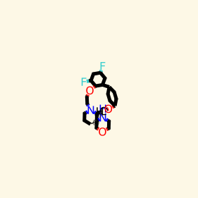 FC1CC(F)C2OCCN3CCC[C@]4(COCCN4)[C@H]3COC3CCC(CC3)C2C1